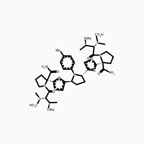 CO[C@H](C)[C@@H](C(=O)N1CCC[C@]1(C(N)=O)c1nc([C@@H]2CC[C@@H](c3csc([C@@]4(C(N)=O)CCCN4C(=O)[C@H]([C@@H](C)OC)N(C)C(=O)O)n3)N2c2ccc(C(C)(C)C)cc2)cs1)N(C)C(=O)O